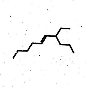 CCCCC=CC(CC)CCC